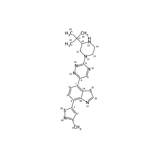 Cc1cc(-c2ccc(-c3cnc(N4CCNC(C(C)(C)C)C4)nn3)c3scnc23)sn1